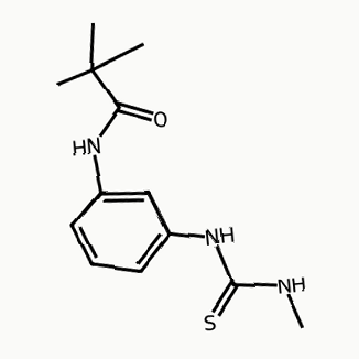 CNC(=S)Nc1cccc(NC(=O)C(C)(C)C)c1